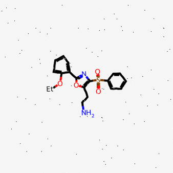 CCOc1ccccc1-c1nc(S(=O)(=O)c2ccccc2)c(CCN)o1